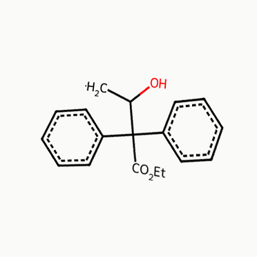 [CH2]C(O)C(C(=O)OCC)(c1ccccc1)c1ccccc1